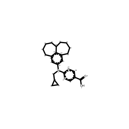 O=C(O)c1cnc(N(CC2CC2)c2cc3c4c(c2)CCCCC4CCCC3)nc1